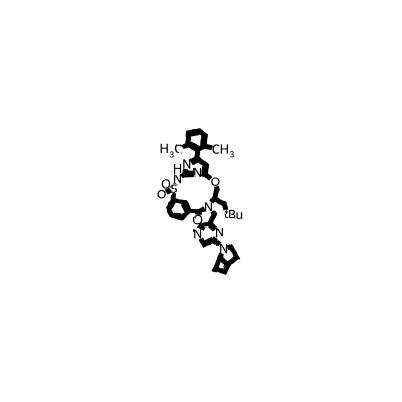 Cc1cccc(C)c1-c1cc2nc(n1)NS(=O)(=O)c1cccc(c1)C(=O)N(Cc1cncc(N3CCC4CCC43)n1)C(CC(C)(C)C)CO2